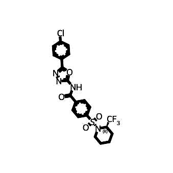 O=C(Nc1nnc(-c2ccc(Cl)cc2)o1)c1ccc(S(=O)(=O)N2CCCC[C@@H]2C(F)(F)F)cc1